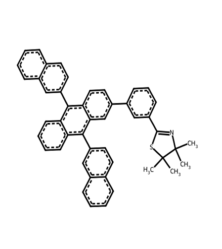 CC1(C)N=C(c2cccc(-c3ccc4c(-c5ccc6ccccc6c5)c5ccccc5c(-c5ccc6ccccc6c5)c4c3)c2)SC1(C)C